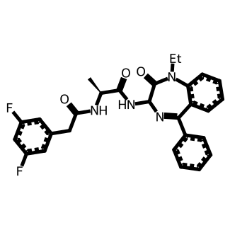 CCN1C(=O)C(NC(=O)[C@H](C)NC(=O)Cc2cc(F)cc(F)c2)N=C(c2ccccc2)c2ccccc21